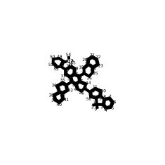 CC1(C)c2ccccc2-c2ccc(C3C=c4c(C5C=c6ccccc6=CC5)c5cc6c(cc5c(-c5ccc7ccccc7c5)c4=CC3)C3=C(CCC=C3)[Si]6(C)C)cc21